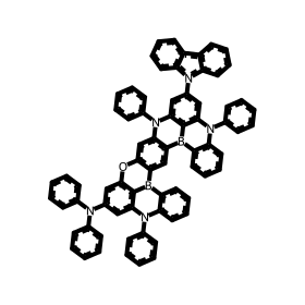 c1ccc(N(c2ccccc2)c2cc3c4c(c2)N(c2ccccc2)c2ccccc2B4c2cc4c(cc2O3)N(c2ccccc2)c2cc(-n3c5ccccc5c5ccccc53)cc3c2B4c2ccccc2N3c2ccccc2)cc1